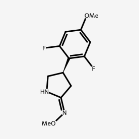 CO/N=C1/C[C@H](c2c(F)cc(OC)cc2F)CN1